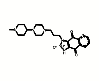 CN1CCC(N2CCN(CCCN3C4=C(N[NH+]3[O-])C(=O)c3cccnc3C4=O)CC2)CC1